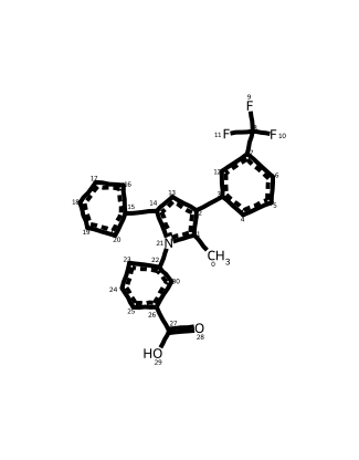 Cc1c(-c2cccc(C(F)(F)F)c2)cc(-c2ccccc2)n1-c1cccc(C(=O)O)c1